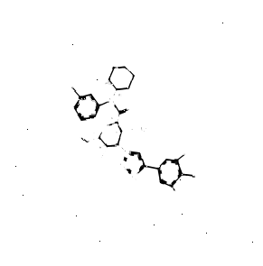 CO[C@@H]1[C@@H](n2cc(-c3cc(F)c(F)c(F)c3)nn2)[C@@H](O)[C@@H](CO)O[C@H]1C(=O)N(c1cccc(Cl)c1)[C@@H]1CCCC[C@H]1O